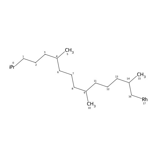 CC(C)CCCC(C)CCCC(C)CCCC(C)[CH2][Rh]